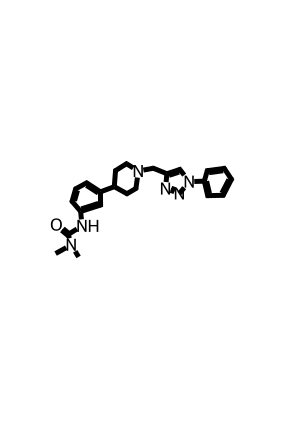 CN(C)C(=O)Nc1cccc(C2CCN(Cc3cn(-c4ccccc4)nn3)CC2)c1